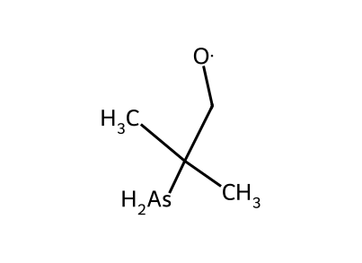 CC(C)([AsH2])C[O]